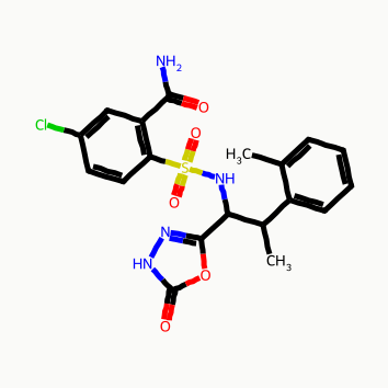 Cc1ccccc1C(C)C(NS(=O)(=O)c1ccc(Cl)cc1C(N)=O)c1n[nH]c(=O)o1